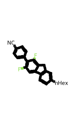 CCCCCCc1ccc2c(c1)Cc1c-2cc(F)c(-c2ccc(C#N)cc2)c1F